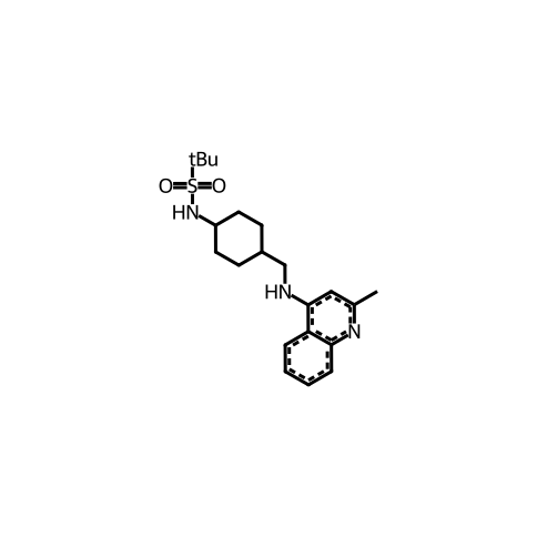 Cc1cc(NCC2CCC(NS(=O)(=O)C(C)(C)C)CC2)c2ccccc2n1